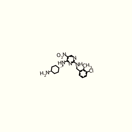 Cc1c(Cl)cccc1CNc1ncc([N+](=O)[O-])c(NC[C@H]2CC[C@H](N)CC2)n1